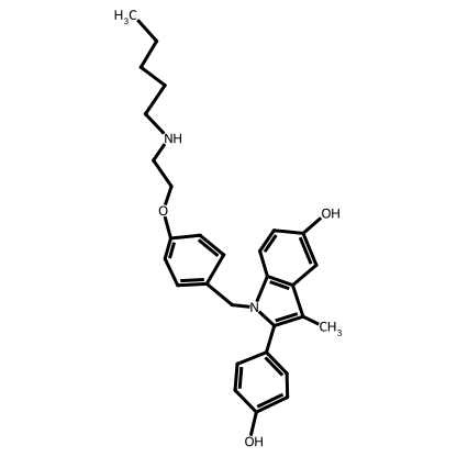 CCCCCNCCOc1ccc(Cn2c(-c3ccc(O)cc3)c(C)c3cc(O)ccc32)cc1